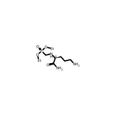 CCOP(=O)(CN[C@@H](CCCN)C(N)=O)OCC